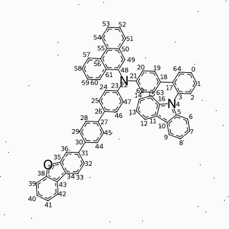 c1ccc(-n2c3ccccc3c3ccccc32)c(-c2ccc(N(c3ccc(-c4ccc(-c5ccc6c(c5)oc5ccccc56)cc4)cc3)c3cc4ccccc4c4ccccc34)cc2)c1